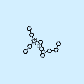 c1ccc(-c2ccc(-c3nc(-c4ccc(-c5ccccc5)cc4)nc(-c4cccc5c4oc4cc6c7ccccc7n(-c7ccc(-c8cccc(-c9ccccc9)c8)cc7)c6cc45)n3)cc2)cc1